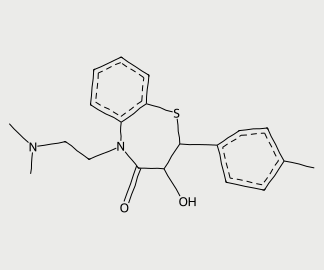 Cc1ccc(C2Sc3ccccc3N(CCN(C)C)C(=O)C2O)cc1